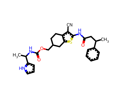 CC(CC(=O)Nc1sc2c(c1C#N)CCC(COC(=O)NC(C)c1ccc[nH]1)C2)c1ccccc1